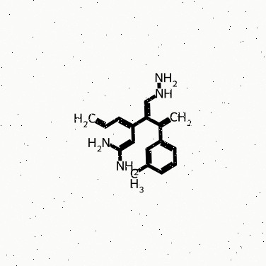 C=C/C=C(C=C(N)N)/C(=C/NN)C(=C)c1cccc(C)c1